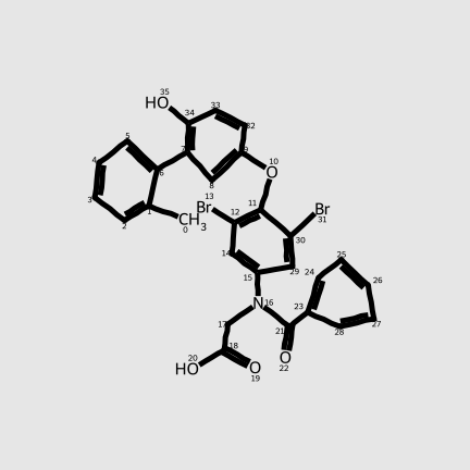 Cc1ccccc1-c1cc(Oc2c(Br)cc(N(CC(=O)O)C(=O)c3ccccc3)cc2Br)ccc1O